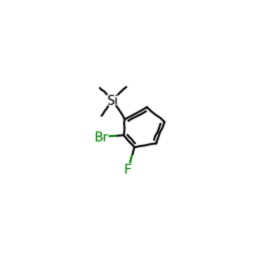 C[Si](C)(C)c1cccc(F)c1Br